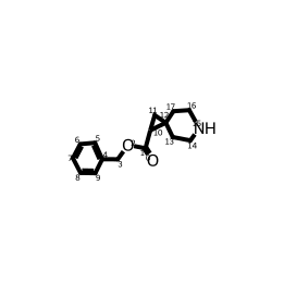 O=C(OCc1ccccc1)C1CC12CCNCC2